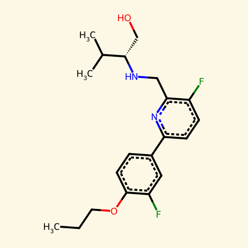 CCCOc1ccc(-c2ccc(F)c(CN[C@@H](CO)C(C)C)n2)cc1F